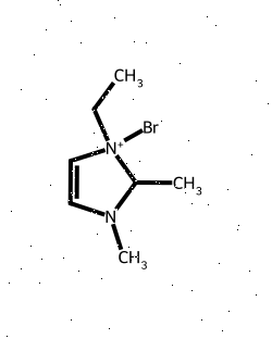 CC[N+]1(Br)C=CN(C)C1C